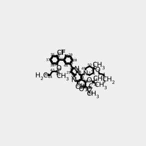 C=CCOC1(C)CCN(c2c([C@H](OC(C)(C)C)C(=O)OC)c(C)nc3cc(-c4ccc(F)c(-c5c(Cl)cccc5O[C@@H](C)CC=C)c4)nn23)CC1